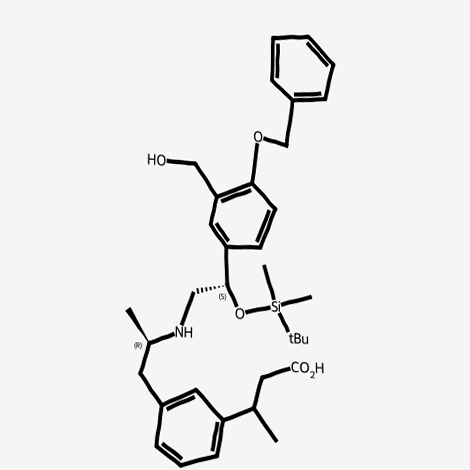 CC(CC(=O)O)c1cccc(C[C@@H](C)NC[C@@H](O[Si](C)(C)C(C)(C)C)c2ccc(OCc3ccccc3)c(CO)c2)c1